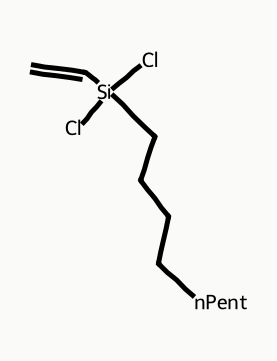 C=C[Si](Cl)(Cl)CCCCCCCCC